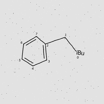 CCC(C)[CH]c1ccccc1